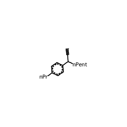 [C]#CC(CCCCC)c1ccc(CCC)cc1